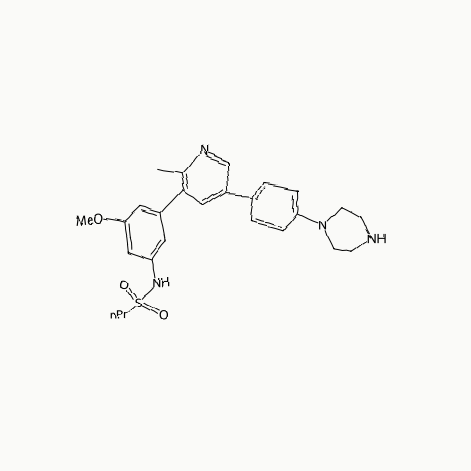 CCCS(=O)(=O)Nc1cc(OC)cc(-c2cc(-c3ccc(N4CCNCC4)cc3)cnc2C)c1